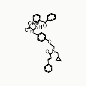 COC(=O)[C@H](Cc1ccc(OCCN(CC2CC2)C(=O)C=Cc2ccccc2)cc1)Nc1ccccc1C(=O)c1ccccc1